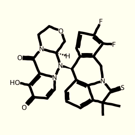 CC1(C)C(=S)N2Cc3c(ccc(F)c3F)[C@H](N3[C@@H]4COCCN4C(=O)c4c(O)c(=O)ccn43)c3cccc1c32